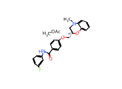 CN1C[C@@H](COc2ccc(C(=O)Nc3cccc(F)c3)cc2)Oc2ccccc21.COC(C)=O